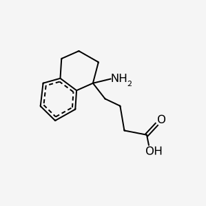 NC1(CCCC(=O)O)CCCc2ccccc21